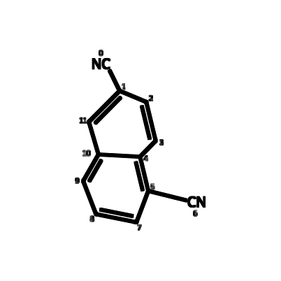 N#Cc1ccc2c(C#N)cccc2c1